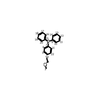 CCOC.c1ccc(P(c2ccccc2)c2ccccc2)cc1